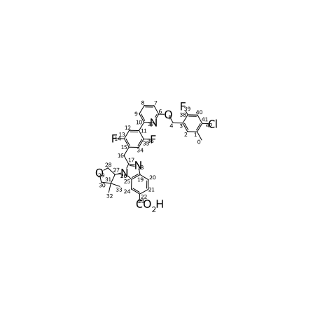 Cc1cc(COc2cccc(-c3cc(F)c(Cc4nc5ccc(C(=O)O)cc5n4[C@@H]4COCC4(C)C)cc3F)n2)c(F)cc1Cl